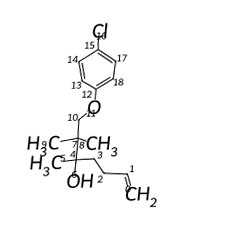 C=CCCC(C)(O)C(C)(C)COc1ccc(Cl)cc1